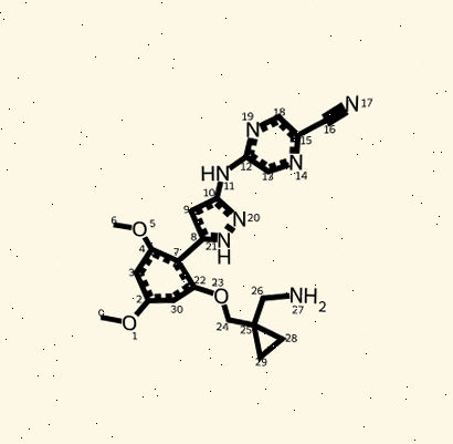 COc1cc(OC)c(-c2cc(Nc3cnc(C#N)cn3)n[nH]2)c(OCC2(CN)CC2)c1